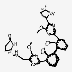 COc1nc(-c2cccc(-c3cccc(-c4cnc(C5=NC[C@H](C)N5)c(OC)n4)c3Cl)c2Cl)cnc1CNC[C@@H]1CCC(=O)N1